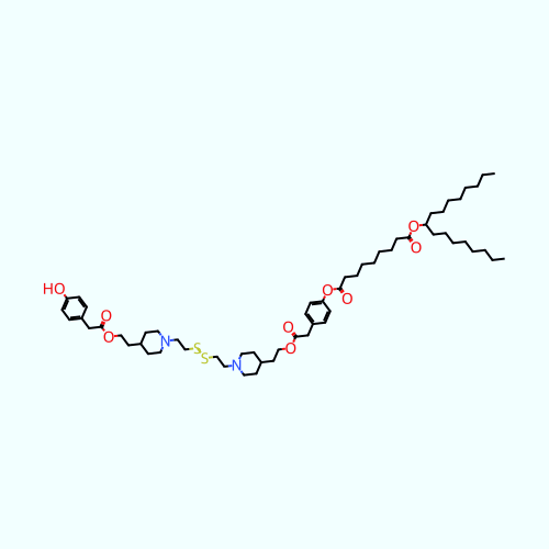 CCCCCCCCC(CCCCCCCC)OC(=O)CCCCCCCC(=O)Oc1ccc(CC(=O)OCCC2CCN(CCSSCCN3CCC(CCOC(=O)Cc4ccc(O)cc4)CC3)CC2)cc1